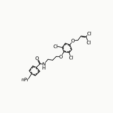 CCCc1ccc(C(=O)NCCCOc2c(Cl)cc(OCC=C(Cl)Cl)cc2Cl)cc1